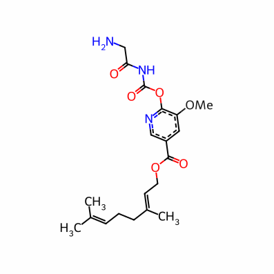 COc1cc(C(=O)OC/C=C(\C)CCC=C(C)C)cnc1OC(=O)NC(=O)CN